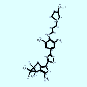 Cc1cc(-c2noc(-c3sc(C)c4c3C[C@@H]3[C@H]4C3(C)C)n2)cc(C)c1OCCCN1CCC(C(=O)O)C1